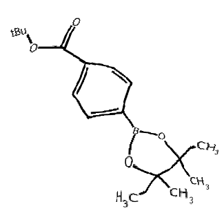 CC(C)(C)OC(=O)c1ccc(B2OC(C)(C)C(C)(C)O2)cc1